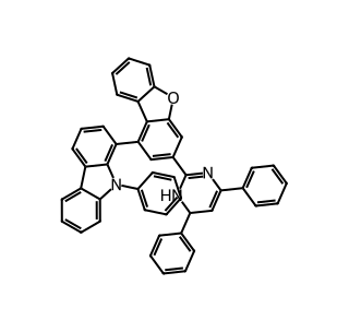 C1=C(c2ccccc2)N=C(c2cc(-c3cccc4c5ccccc5n(-c5ccccc5)c34)c3c(c2)oc2ccccc23)NC1c1ccccc1